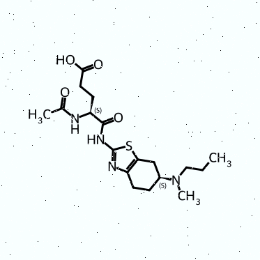 CCCN(C)[C@H]1CCc2nc(NC(=O)[C@H](CCC(=O)O)NC(C)=O)sc2C1